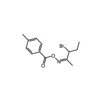 CCC(Br)C(C)=NOC(=O)c1ccc(C)cc1